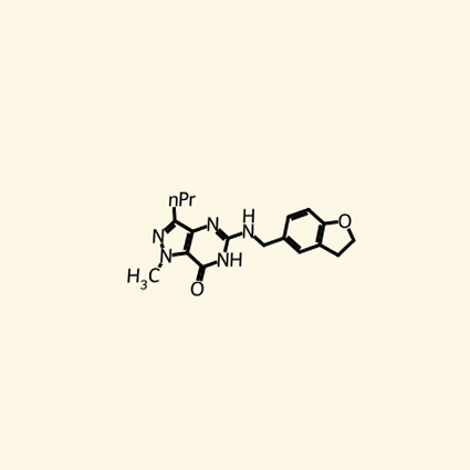 CCCc1nn(C)c2c(=O)[nH]c(NCc3ccc4c(c3)CCO4)nc12